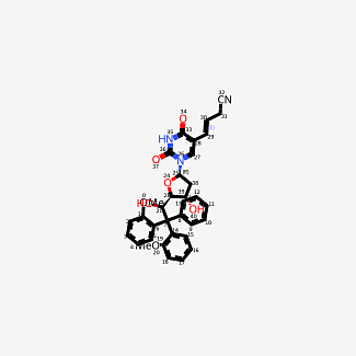 COc1ccccc1C(c1ccccc1)(c1ccccc1OC)C(O)[C@H]1O[C@@H](n2cc(/C=C/CC#N)c(=O)[nH]c2=O)C[C@@H]1O